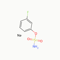 NS(=O)(=O)Oc1cccc(F)c1.[Na]